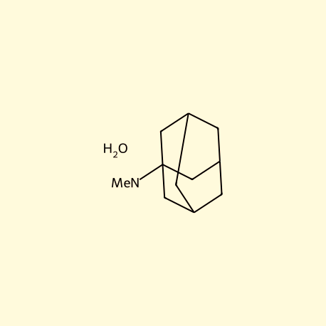 CNC12CC3CC(CC(C3)C1)C2.O